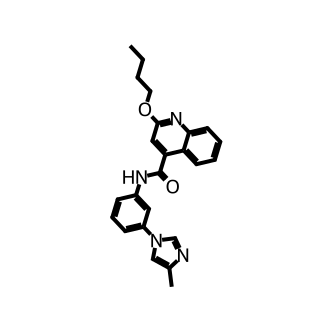 CCCCOc1cc(C(=O)Nc2cccc(-n3cnc(C)c3)c2)c2ccccc2n1